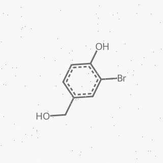 OCc1ccc(O)c(Br)c1